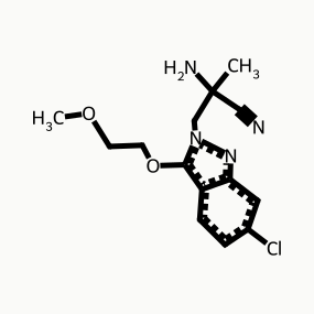 COCCOc1c2ccc(Cl)cc2nn1CC(C)(N)C#N